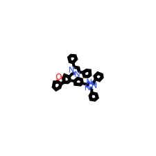 c1ccc(-c2cc(-c3ccccc3)nc(-c3cc4oc5ccccc5c4cc3-c3ccc(-c4nc(-c5ccccc5)nc(-c5ccccc5)n4)cc3)n2)cc1